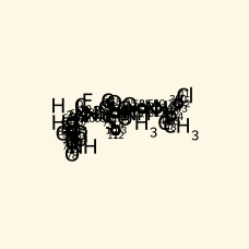 CC1CN(CC[C@H](CSc2ccccc2)Nc2ccc(S(=O)(=O)NC(=O)c3ccc(N4CCN(CC5=C(c6ccc(Cl)cc6)CCC(C)(C)C5)CC4)cc3)cc2S(=O)(=O)C(F)(F)F)CC(C)N1Cc1ccc2c(c1)C(=O)N(N1CCC(=O)NC1=O)C2=O